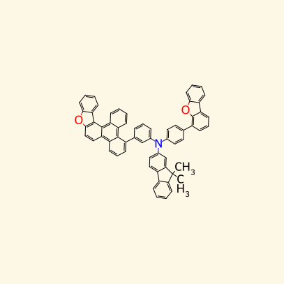 CC1(C)c2ccccc2-c2ccc(N(c3ccc(-c4cccc5c4oc4ccccc45)cc3)c3cccc(-c4cccc5c6ccc7oc8ccccc8c7c6c6ccccc6c45)c3)cc21